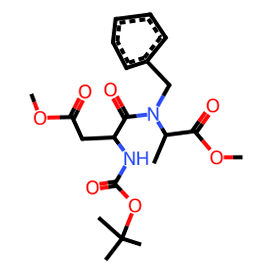 COC(=O)CC(NC(=O)OC(C)(C)C)C(=O)N(Cc1ccccc1)C(C)C(=O)OC